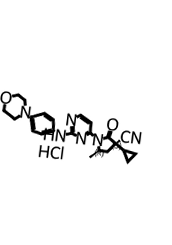 C[C@@H]1C[C@@](C#N)(C2CC2)C(=O)N1c1ccnc(Nc2ccc(N3CCOCC3)cc2)n1.Cl